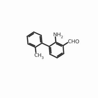 Cc1ccccc1-c1cccc(C=O)c1N